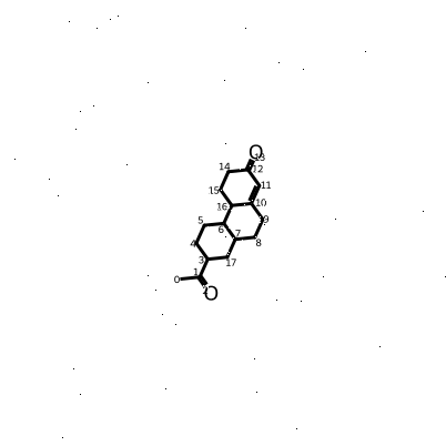 CC(=O)C1CCC2C(CCC3=CC(=O)CCC32)C1